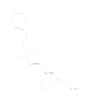 CC(C)(C)c1ccc(CCS(=O)(=O)NCc2cccc(OCC(=O)O)c2)cc1